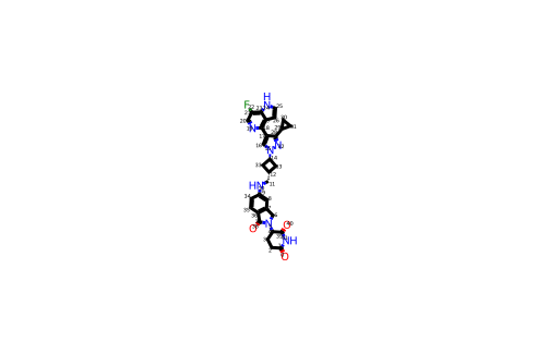 O=C1CCC(N2Cc3cc(NC[C@H]4C[C@H](n5cc(-c6ncc(F)c7[nH]ccc67)c(C6CC6)n5)C4)ccc3C2=O)C(=O)N1